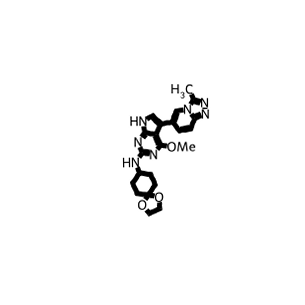 COc1nc(NC2CCC3(CC2)OCCO3)nc2[nH]cc(-c3ccc4nnc(C)n4c3)c12